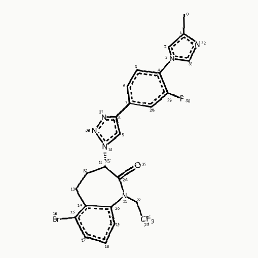 Cc1cn(-c2ccc(-c3cn([C@H]4CCc5c(Br)cccc5N(CC(F)(F)F)C4=O)nn3)cc2F)cn1